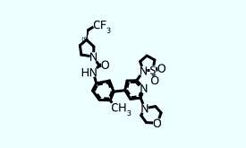 Cc1ccc(NC(=O)N2CC[C@@H](CC(F)(F)F)C2)cc1-c1cc(N2CCOCC2)nc(N2CCCS2(=O)=O)c1